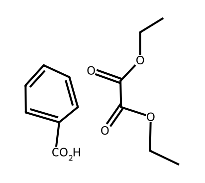 CCOC(=O)C(=O)OCC.O=C(O)c1ccccc1